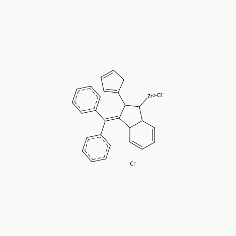 [Cl-].[Cl-].[Zr+2][CH]1C(C2=CC=CC2)C(=C(c2ccccc2)c2ccccc2)C2C=CC=CC21